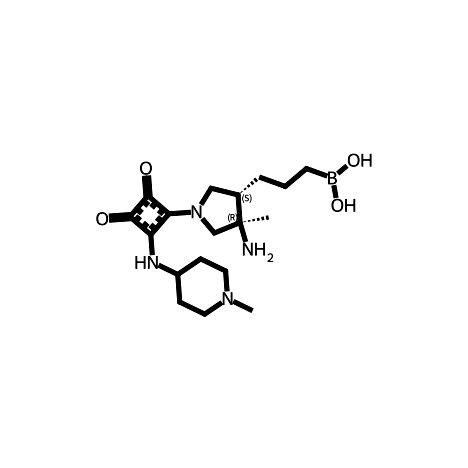 CN1CCC(Nc2c(N3C[C@H](CCCB(O)O)[C@@](C)(N)C3)c(=O)c2=O)CC1